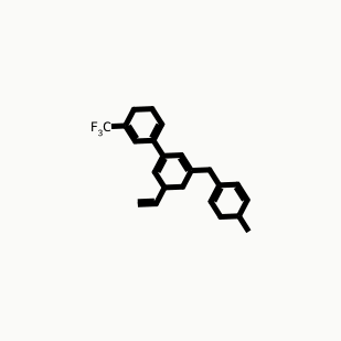 C=CC1C=C(C2=CCCC(C(F)(F)F)=C2)C=C(CC2=CCC(C)C=C2)C1